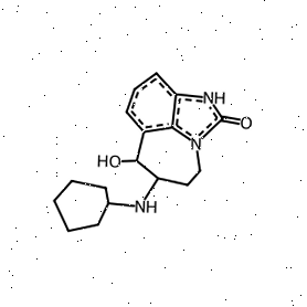 O=c1[nH]c2cccc3c2n1CCC(NC1CCCCC1)C3O